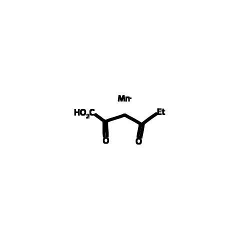 CCC(=O)CC(=O)C(=O)O.[Mn]